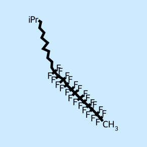 CC(C)CCCCCCCCCCC(F)(F)C(F)(F)C(F)(F)C(F)(F)C(F)(F)C(F)(F)C(F)(F)C(F)(F)C(F)(F)C(F)(F)C(F)(F)C(C)(F)F